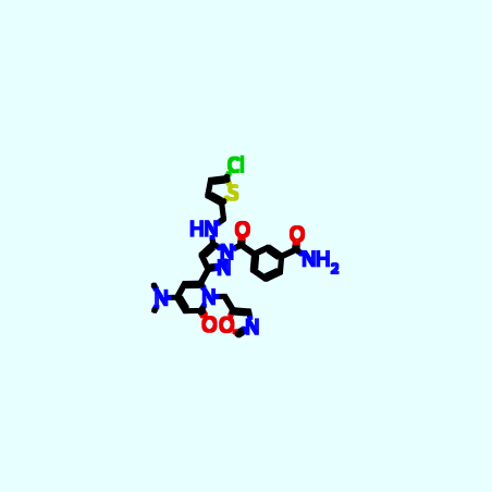 CN(C)c1cc(-c2cc(NCc3ccc(Cl)s3)n(C(=O)c3cccc(C(N)=O)c3)n2)n(Cc2cnco2)c(=O)c1